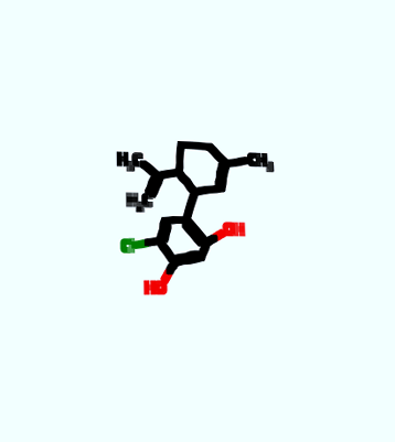 C=C(C)C1CCC(C)=CC1c1cc(Cl)c(O)cc1O